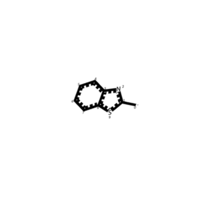 [CH2]c1nc2ccccc2s1